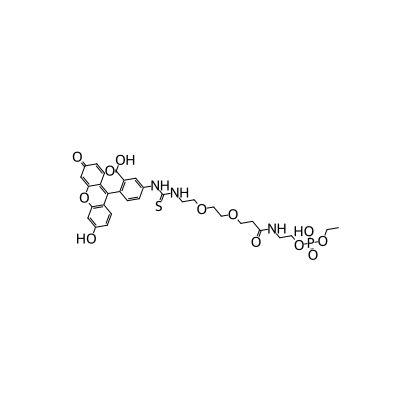 CCOP(=O)(O)OCCNC(=O)CCOCCOCCNC(=S)Nc1ccc(-c2c3ccc(=O)cc-3oc3cc(O)ccc23)c(C(=O)O)c1